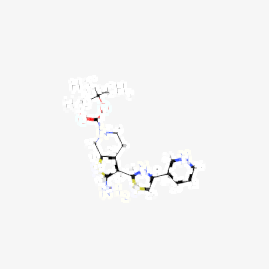 CC(C)(C)OC(=O)N1CCc2c(sc(N)c2-c2nc(-c3cccnc3)cs2)C1